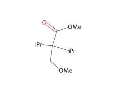 COCC(C(=O)OC)(C(C)C)C(C)C